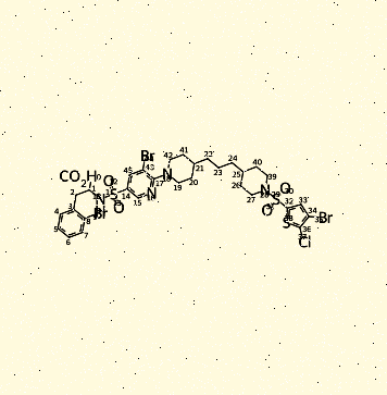 O=C(O)C(Cc1ccccc1Br)NS(=O)(=O)c1cnc(N2CCC(CCCC3CCN(S(=O)(=O)c4cc(Br)c(Cl)s4)CC3)CC2)c(Br)c1